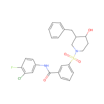 O=C(Nc1ccc(F)c(Cl)c1)c1cccc(S(=O)(=O)N2CCC(O)C(Cc3ccccc3)C2)c1